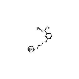 CC(C)CC(c1cccc(CCCCC[N+]23CCN(CC2)CC3)c1)C(C)C